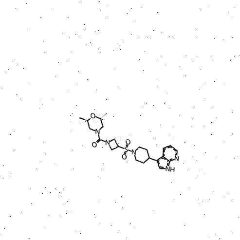 C[C@@H]1CN(C(=O)N2CC(S(=O)(=O)N3CCC(c4c[nH]c5ncccc45)CC3)C2)C[C@@H](C)O1